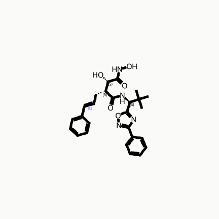 CC(C)(C)[C@H](NC(=O)[C@H](C/C=C/c1ccccc1)[C@H](O)C(=O)NO)c1nc(-c2ccccc2)no1